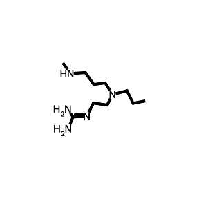 CCCN(CCCNC)CCN=C(N)N